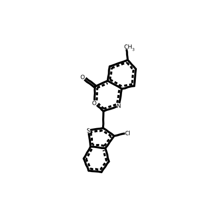 Cc1ccc2nc(-c3sc4ccccc4c3Cl)oc(=O)c2c1